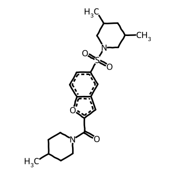 CC1CCN(C(=O)c2cc3cc(S(=O)(=O)N4CC(C)CC(C)C4)ccc3o2)CC1